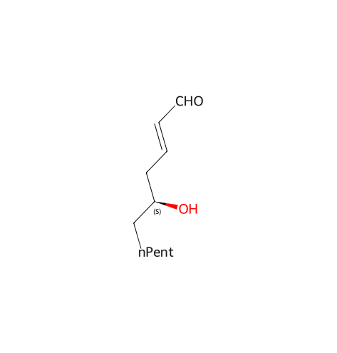 CCCCCC[C@H](O)CC=CC=O